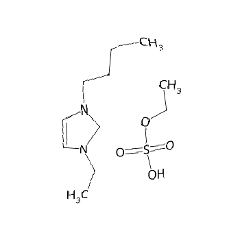 CCCCN1C=CN(CC)C1.CCOS(=O)(=O)O